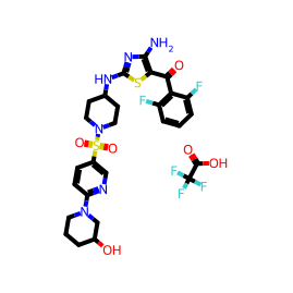 Nc1nc(NC2CCN(S(=O)(=O)c3ccc(N4CCCC(O)C4)nc3)CC2)sc1C(=O)c1c(F)cccc1F.O=C(O)C(F)(F)F